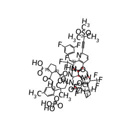 Cc1cc(CC(=O)C2[C@H](C(=O)O)CC[C@H]2C(=O)O)c(C(C)(C)CC(=O)N(c2nn(CC(F)(F)F)c3c(-c4ccc(C#CC(C)(C)S(C)(=O)=O)nc4[C@H](Cc4cc(F)cc(F)c4)NC(=O)Cn4nc(C(F)(F)F)c5c4C(F)(F)C4CC[C@H]54)ccc(Cl)c23)S(C)(=O)=O)c(OP(=O)(O)O)c1